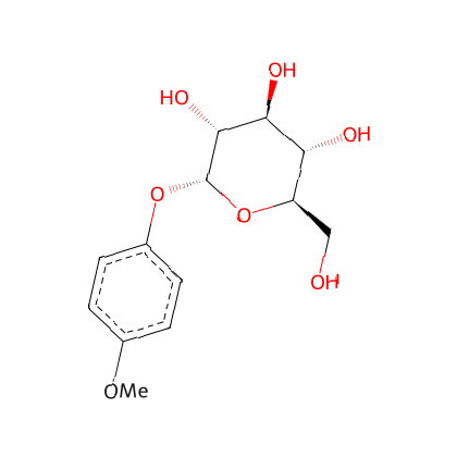 COc1ccc(O[C@H]2O[C@H](CO)[C@@H](O)[C@H](O)[C@H]2O)cc1